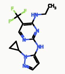 CCNc1nc(Nc2ccnn2C2CC2)ncc1C(F)(F)F